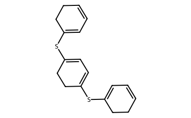 C1=CCCC(SC2=CC=C(SC3=CC=CCC3)CC2)=C1